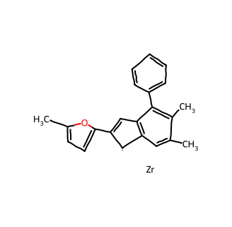 Cc1ccc(C2=Cc3c(cc(C)c(C)c3-c3ccccc3)[CH]2)o1.[Zr]